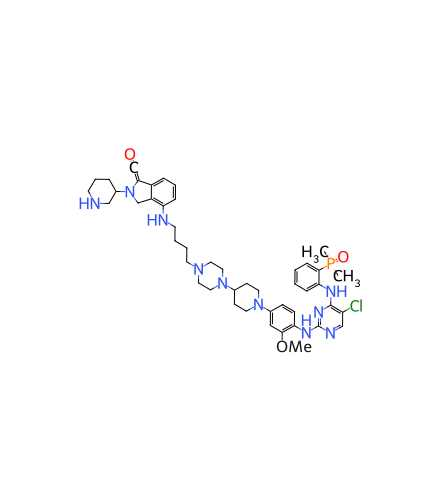 COc1cc(N2CCC(N3CCN(CCCCNc4cccc5c4CN(C4CCCNC4)C5=C=O)CC3)CC2)ccc1Nc1ncc(Cl)c(Nc2ccccc2P(C)(C)=O)n1